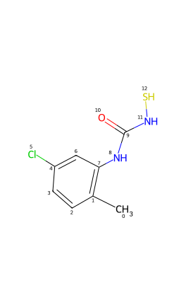 Cc1ccc(Cl)cc1NC(=O)NS